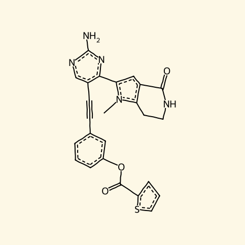 Cn1c(-c2nc(N)ncc2C#Cc2cccc(OC(=O)c3cccs3)c2)cc2c1CCNC2=O